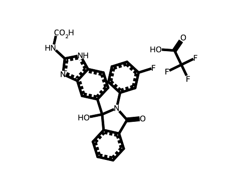 O=C(O)C(F)(F)F.O=C(O)Nc1nc2cc(C3(O)c4ccccc4C(=O)N3c3cccc(F)c3)ccc2[nH]1